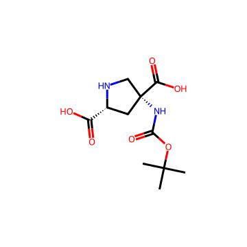 CC(C)(C)OC(=O)N[C@@]1(C(=O)O)CN[C@@H](C(=O)O)C1